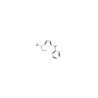 COC(=O)C1CCn2c(C(=O)c3ccccc3Br)ccc21